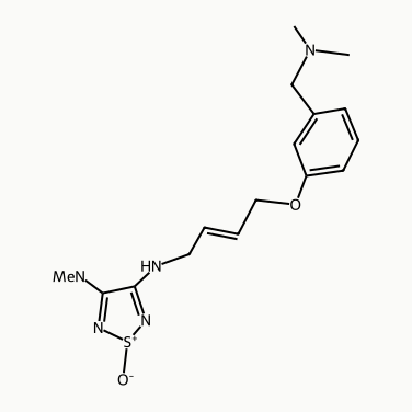 CNc1n[s+]([O-])nc1NCC=CCOc1cccc(CN(C)C)c1